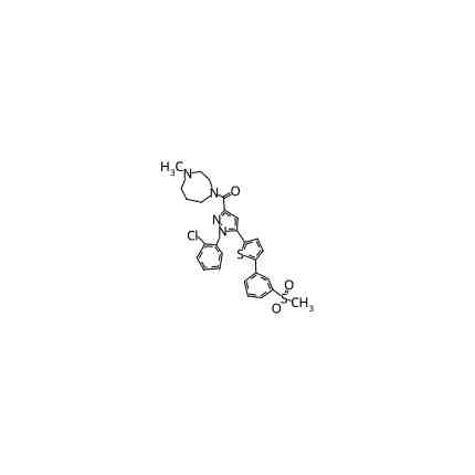 CN1CCCN(C(=O)c2cc(-c3ccc(-c4cccc(S(C)(=O)=O)c4)s3)n(-c3ccccc3Cl)n2)CC1